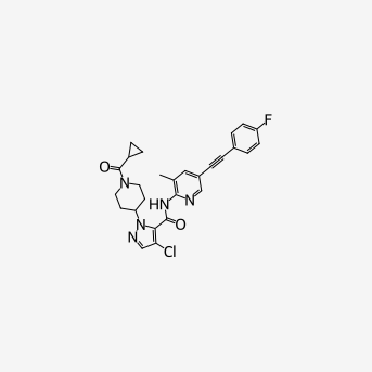 Cc1cc(C#Cc2ccc(F)cc2)cnc1NC(=O)c1c(Cl)cnn1C1CCN(C(=O)C2CC2)CC1